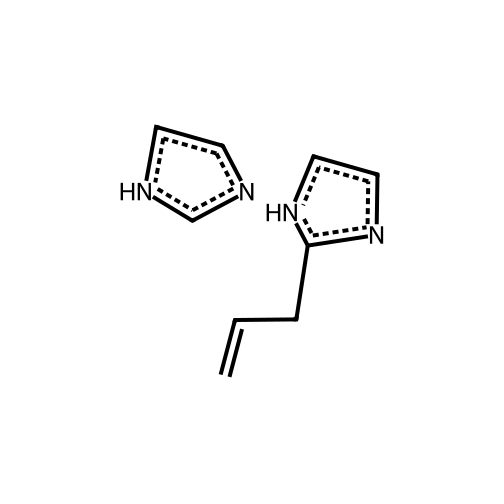 C=CCc1ncc[nH]1.c1c[nH]cn1